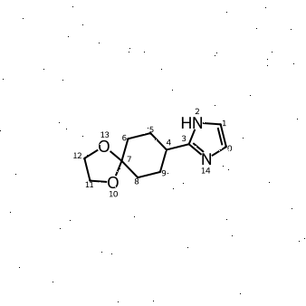 c1c[nH]c(C2CCC3(CC2)OCCO3)n1